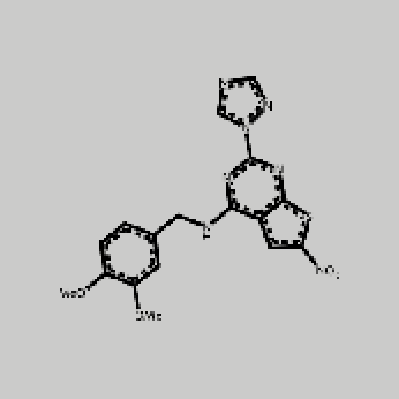 COc1ccc(CNc2nc(-n3cncn3)nc3sc([N+](=O)[O-])cc23)cc1OC